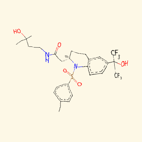 Cc1ccc(S(=O)(=O)N2c3ccc(C(O)(C(F)(F)F)C(F)(F)F)cc3CC[C@H]2CC(=O)NCCC(C)(C)O)cc1